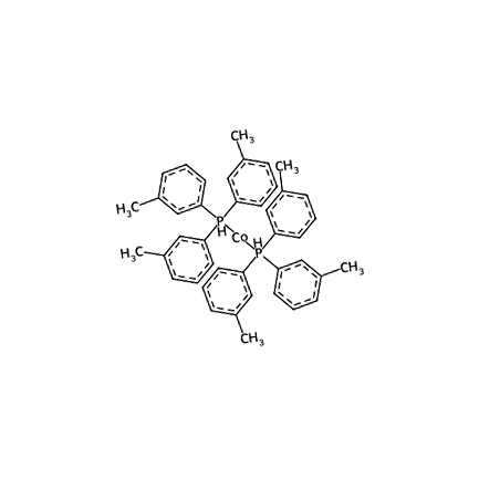 Cc1cccc([PH]([Co][PH](c2cccc(C)c2)(c2cccc(C)c2)c2cccc(C)c2)(c2cccc(C)c2)c2cccc(C)c2)c1